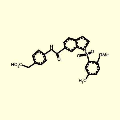 COc1ccc(C)cc1S(=O)(=O)n1ccc2ccc(C(=O)Nc3ccc(CC(=O)O)cc3)cc21